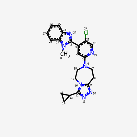 Cn1c(-c2cc(N3CCc4nnc(C5CC5)n4CC3)ncc2Cl)nc2ccccc21